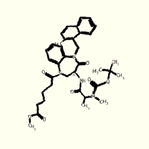 COC(=O)CCCCC(=O)N1C[C@H](NC(=O)C(C)N(C)C(=O)OC(C)(C)C)C(=O)N(Cc2c(C)ccc3ccccc23)c2ccccc21